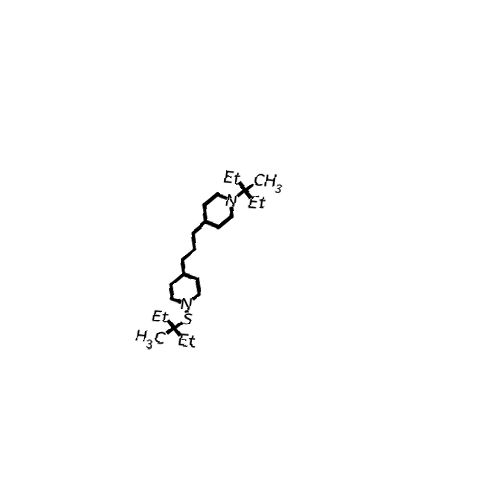 CCC(C)(CC)SN1CCC(CCCC2CCN(C(C)(CC)CC)CC2)CC1